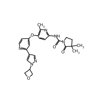 Cc1nc(NC(=O)N2CCC(C)(C)C2=O)ccc1Oc1ccnc(-c2cnn(C3COC3)c2)c1